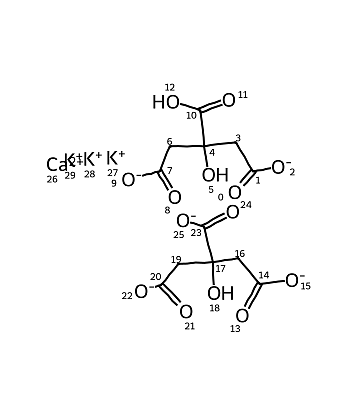 O=C([O-])CC(O)(CC(=O)[O-])C(=O)O.O=C([O-])CC(O)(CC(=O)[O-])C(=O)[O-].[Ca+2].[K+].[K+].[K+]